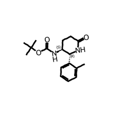 Cc1ccccc1[C@H]1NC(=O)CC[C@@H]1NC(=O)OC(C)(C)C